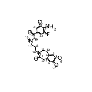 COc1cc2c(cc1OC)CC(=O)N(CCCN(C)CC(=O)c1cc(F)c(N)c(Cl)c1)CC2